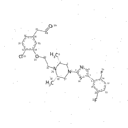 C[C@@H]1CN(c2ncc(-c3cc(F)ccc3F)s2)C[C@H](C)N1CCOc1cc(CC=O)ccc1Cl